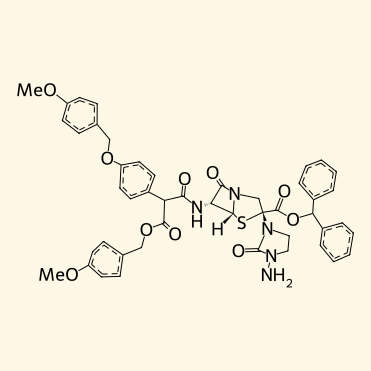 COc1ccc(COC(=O)C(C(=O)N[C@@H]2C(=O)N3C[C@@](C(=O)OC(c4ccccc4)c4ccccc4)(N4CCN(N)C4=O)S[C@H]23)c2ccc(OCc3ccc(OC)cc3)cc2)cc1